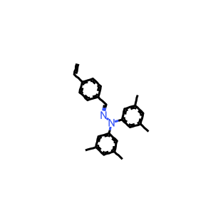 C=Cc1ccc(/C=N/N(c2cc(C)cc(C)c2)c2cc(C)cc(C)c2)cc1